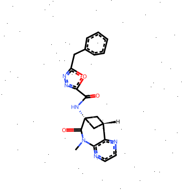 CN1c2nccnc2[C@H]2C[C@@](NC(=O)c3nnc(Cc4ccccc4)o3)(C2)C1=O